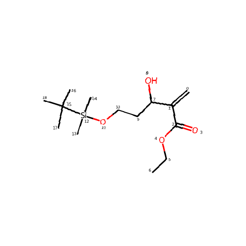 C=C(C(=O)OCC)C(O)CCO[Si](C)(C)C(C)(C)C